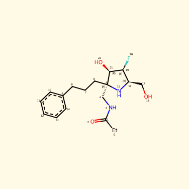 CCC(=O)NC[C@@]1(CCCc2ccccc2)N[C@H](CO)[C@H](F)[C@@H]1O